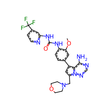 COc1cc(-c2cc(CN3CCOCC3)n3ncnc(N)c23)ccc1NC(=O)Nc1cc(C(F)(F)F)ccn1